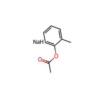 CC(=O)Oc1ccccc1C.[NaH]